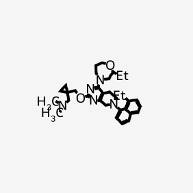 CCc1cccc2cccc(N3CCc4c(nc(OCC5(CN(C)C)CC5)nc4N4CCCOC(CC)C4)C3)c12